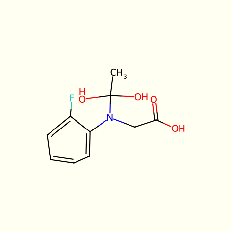 CC(O)(O)N(CC(=O)O)c1ccccc1F